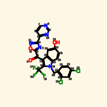 O=C(c1nc(-c2ccncn2)no1)c1c(C(F)(F)F)n(Cc2ccc(Cl)cc2Cl)c2ccc(O)cc12